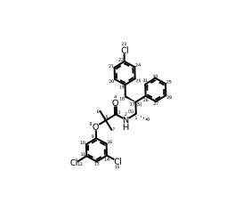 C[C@H](NC(=O)C(C)(C)Oc1cc(Cl)cc(Cl)c1)[C@@H](Cc1ccc(Cl)cc1)c1ccccc1